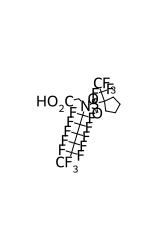 O=C(O)CN(C(F)(F)C(F)(F)C(F)(F)C(F)(F)C(F)(F)C(F)(F)F)S(=O)(=O)C1(C(F)(F)C(F)(F)F)CCCC1